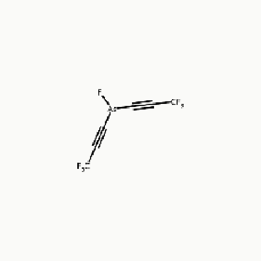 F[As](C#CC(F)(F)F)C#CC(F)(F)F